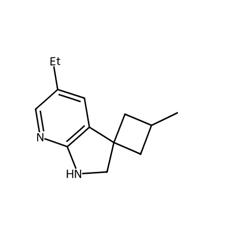 CCc1cnc2c(c1)C1(CN2)CC(C)C1